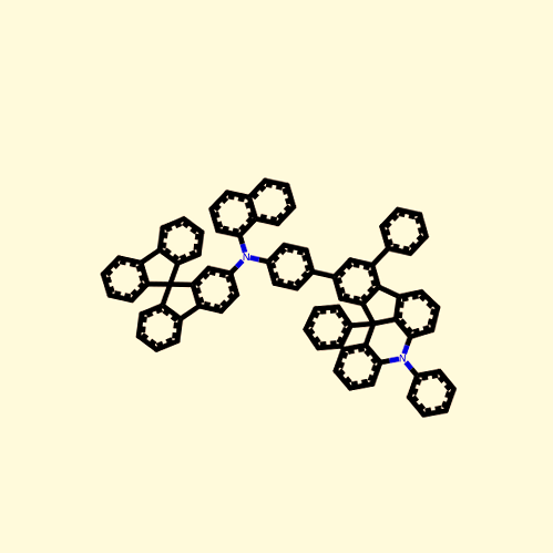 c1ccc(-c2cc(-c3ccc(N(c4ccc5c(c4)C4(c6ccccc6-c6ccccc64)c4ccccc4-5)c4cccc5ccccc45)cc3)cc3c2-c2cccc4c2C3(c2ccccc2)c2ccccc2N4c2ccccc2)cc1